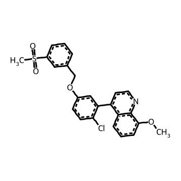 COc1cccc2c(-c3cc(OCc4cccc(S(C)(=O)=O)c4)ccc3Cl)ccnc12